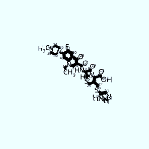 CCn1cc(C(=O)NC2C(=O)N3C(C(=O)O)=C(CSc4cnn[nH]4)CS[C@@H]23)c(=O)c2cc(F)c(N3CCN(C)CC3)cc21